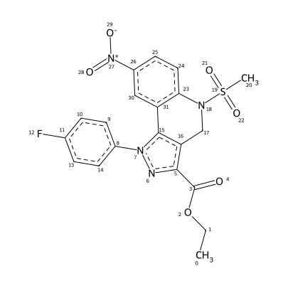 CCOC(=O)c1nn(-c2ccc(F)cc2)c2c1CN(S(C)(=O)=O)c1ccc([N+](=O)[O-])cc1-2